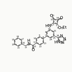 CCOc1c(Nc2cc(-c3ccc(C(=O)NCc4ccccc4)cc3)cc(-c3nnn[nH]3)c2)c(=O)c1=O